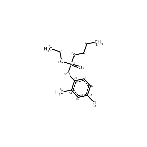 CCCSP(=O)(OCC)Oc1ccc(Cl)cc1C